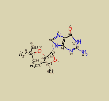 CC[C@H]1O[C@@H](n2cnc3c(=O)[nH]c(N)nc32)[C@@H](O[Si](C)(C)C(C)(C)C)C1C